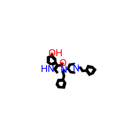 Cc1[nH]c2ccc(O)cc2c1C(=O)N(CCc1ccccc1)C1CCN(CCc2ccccc2)CC1